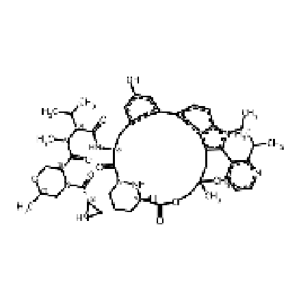 CCn1c(-c2cccnc2C(C)C)c2c3cc(ccc31)-c1cc(O)cc(c1)C[C@H](NC(=O)[C@H](C(C)C)N(C)C(=O)[C@@H]1CO[C@H](C)CN1C(=O)[C@@H]1CN1)C(=O)N1CCC[C@H](N1)C(=O)OCC(C)(C)C2